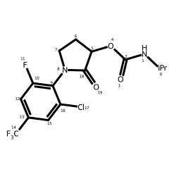 CC(C)NC(=O)OC1CCN(c2c(F)cc(C(F)(F)F)cc2Cl)C1=O